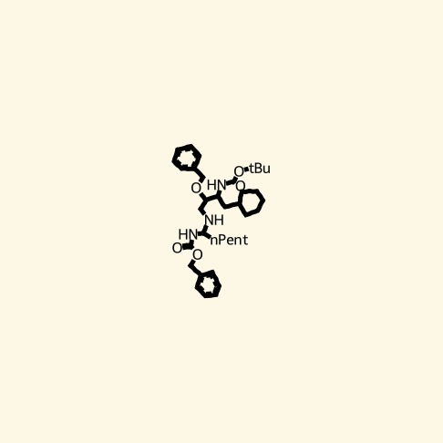 CCCCCC(NCC(OCc1ccccc1)C(CC1CCCCC1)NC(=O)OC(C)(C)C)NC(=O)OCc1ccccc1